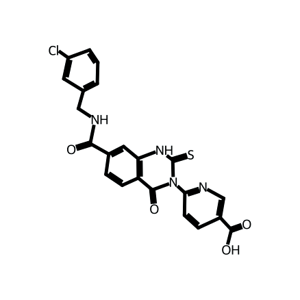 O=C(O)c1ccc(-n2c(=S)[nH]c3cc(C(=O)NCc4cccc(Cl)c4)ccc3c2=O)nc1